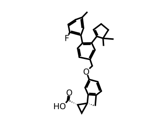 Cc1ccc(F)c(-c2ccc(COc3ccc4c(c3)[C@@]3(C4)C[C@@H]3C(=O)O)cc2C2=CCCC2(C)C)c1